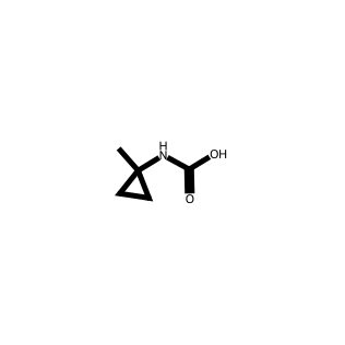 CC1(NC(=O)O)CC1